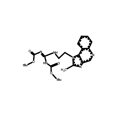 Cc1nc2cnc3ccccc3c2n1CCNC(=NC(=O)OC(C)(C)C)NC(=O)OC(C)(C)C